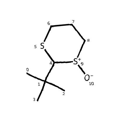 CC(C)(C)C1SCCC[S+]1[O-]